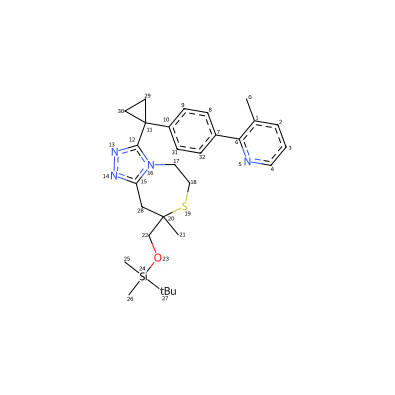 Cc1cccnc1-c1ccc(C2(c3nnc4n3CCSC(C)(CO[Si](C)(C)C(C)(C)C)C4)CC2)cc1